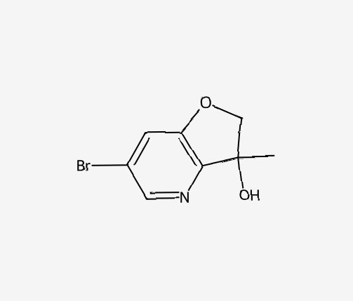 CC1(O)COc2cc(Br)cnc21